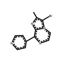 Cc1nc2c(-c3ccncc3)nccn2c1Br